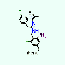 CCCC(C)Cc1cc(F)c(CN/C(Cc2ccc(F)cc2)=N/C=C(\C)CC)c(P)c1